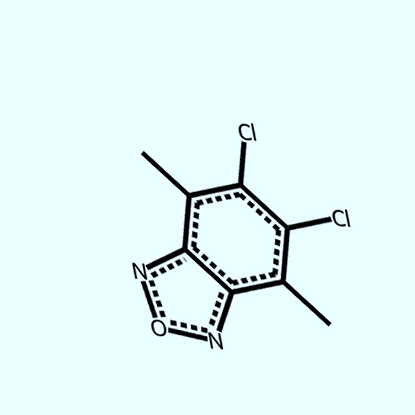 Cc1c(Cl)c(Cl)c(C)c2nonc12